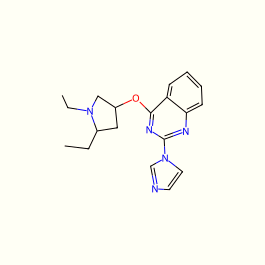 CCC1CC(Oc2nc(-n3ccnc3)nc3ccccc23)CN1CC